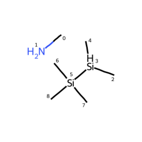 CN.C[SiH](C)[Si](C)(C)C